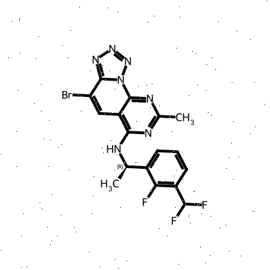 Cc1nc(N[C@H](C)c2cccc(C(F)F)c2F)c2cc(Br)c3nnnn3c2n1